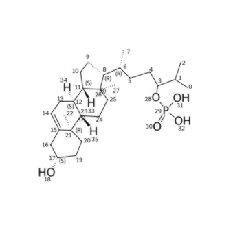 CC(C)C(CC[C@@H](C)[C@H]1CC[C@H]2[C@@H]3CC=C4C[C@@H](O)CC[C@]4(C)[C@H]3CC[C@]12C)OP(=O)(O)O